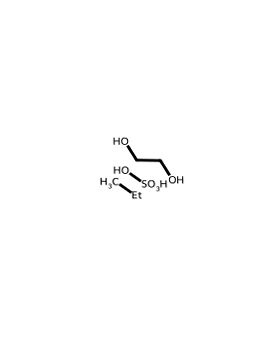 CCC.O=S(=O)(O)O.OCCO